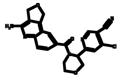 N#Cc1cnc(C2COCCN2C(=O)c2ccc3nc(N)c4c(c3c2)COC4)cc1Cl